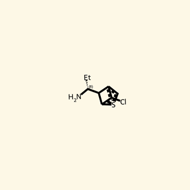 CC[C@@H](N)C1c2csc1c2Cl